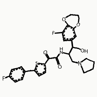 O=C(NC(CN1CCCC1)C(O)c1cc(F)c2c(c1)OCCO2)C(=O)c1ccc(-c2ccc(F)cc2)s1